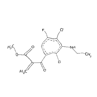 C=C(C(=O)OC)C(=O)c1cc(F)c(Cl)c(NCC)c1Cl